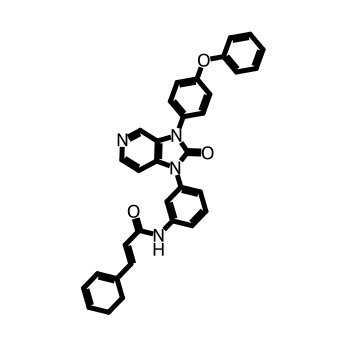 O=C(/C=C/C1=CC=CCC1)Nc1cccc(-n2c(=O)n(-c3ccc(Oc4ccccc4)cc3)c3cnccc32)c1